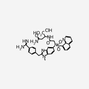 Cl.Cn1c(Cc2ccc(C(=N)N)cc2)nc2cc(N(CC(=O)NC(CC(N)=O)C(=O)O)S(=O)(=O)c3cccc4cccnc34)ccc21